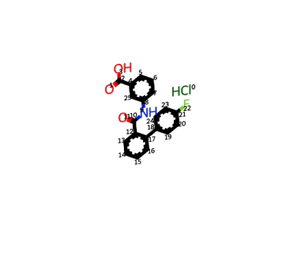 Cl.O=C(O)c1cccc(NC(=O)c2ccccc2-c2ccc(F)cc2)c1